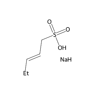 CCC=CCS(=O)(=O)O.[NaH]